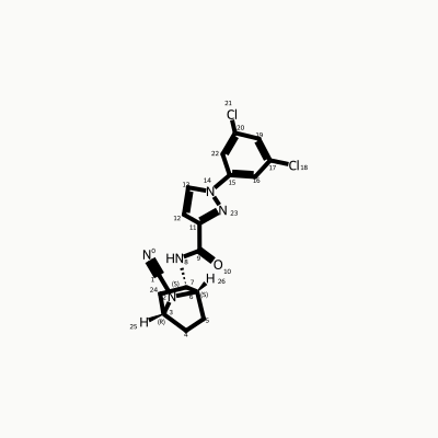 N#CN1[C@@H]2CC[C@H]1[C@@H](NC(=O)c1ccn(-c3cc(Cl)cc(Cl)c3)n1)C2